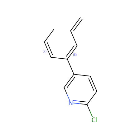 C=C/C=C(\C=C/C)c1ccc(Cl)nc1